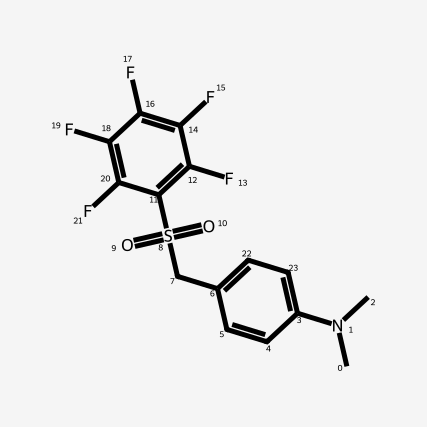 CN(C)c1ccc(CS(=O)(=O)c2c(F)c(F)c(F)c(F)c2F)cc1